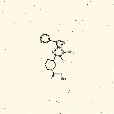 CC(C)(C)OC(=O)N1CCCC(c2nc3c(-c4cccnc4)cnn3c(N)c2Br)C1